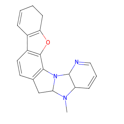 CN1C2C=CC=NC2N2c3c(ccc4c5c(oc34)CCC=C5)CC12